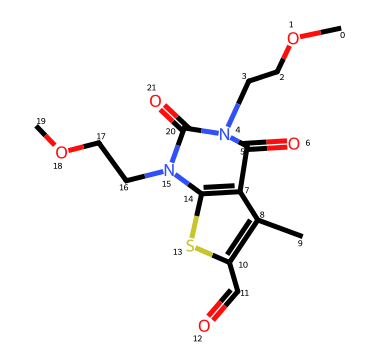 COCCn1c(=O)c2c(C)c(C=O)sc2n(CCOC)c1=O